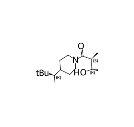 C[C@H](C(=O)N1CCC([C@@H](C)C(C)(C)C)CC1)[C@@H](C)O